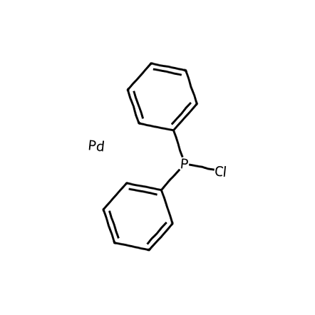 ClP(c1ccccc1)c1ccccc1.[Pd]